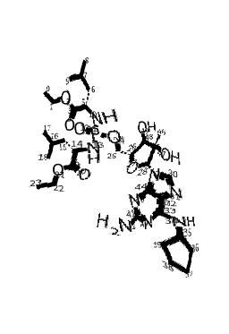 CCOC(=O)[C@H](CC(C)C)NP(=O)(N[C@@H](CC(C)C)C(=O)OCC)OC[C@H]1O[C@@H](n2cnc3c(NC4CCCC4)nc(N)nc32)[C@@](C)(O)C1O